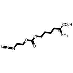 [N-]=[N+]=NCCOC(=O)NCCCC[C@H](N)C(=O)O